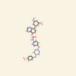 COc1ccc(CN2CCN(Cc3ccc(NC(=O)Oc4ccc(-c5cc(OC)cc(OC)c5)c5nccnc45)nc3)CC2)cc1